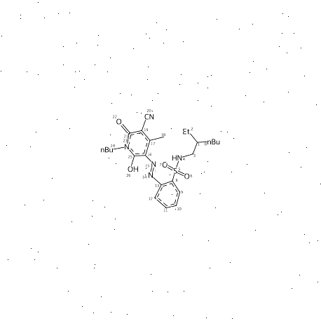 CCCCC(CC)CNS(=O)(=O)c1ccccc1/N=N/c1c(C)c(C#N)c(=O)n(CCCC)c1O